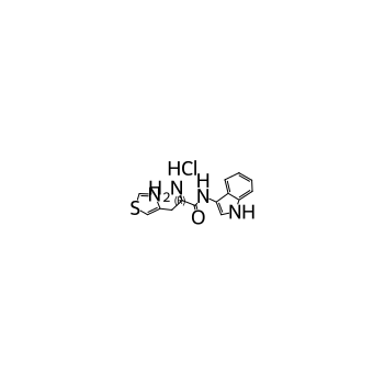 Cl.N[C@H](Cc1cscn1)C(=O)Nc1c[nH]c2ccccc12